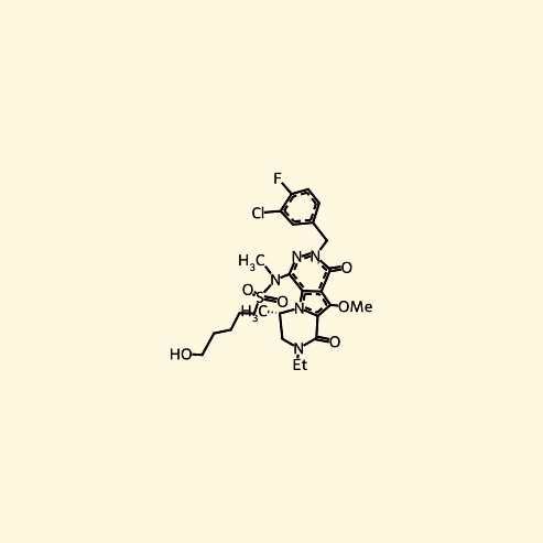 CCN1C[C@H](C)n2c(c(OC)c3c(=O)n(Cc4ccc(F)c(Cl)c4)nc(N(C)S(=O)(=O)CCCCCO)c32)C1=O